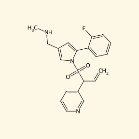 C=CC(c1cccnc1)S(=O)(=O)n1cc(CNC)cc1-c1ccccc1F